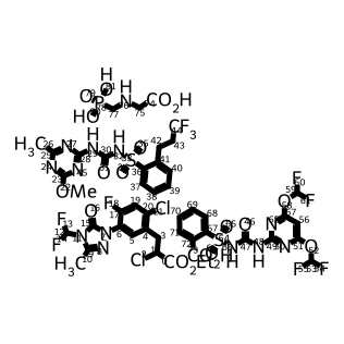 CCOC(=O)C(Cl)Cc1cc(-n2nc(C)n(C(F)F)c2=O)c(F)cc1Cl.COc1nc(C)nc(NC(=O)NS(=O)(=O)c2ccccc2CCC(F)(F)F)n1.O=C(Nc1nc(OC(F)F)cc(OC(F)F)n1)NS(=O)(=O)c1ccccc1C(=O)O.O=C(O)CNCP(=O)(O)O